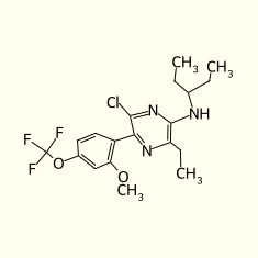 CCc1nc(-c2ccc(OC(F)(F)F)cc2OC)c(Cl)nc1NC(CC)CC